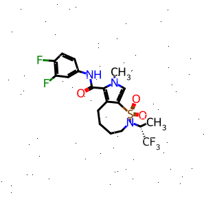 C[C@@H](N1CCCCc2c(cn(C)c2C(=O)Nc2ccc(F)c(F)c2)S1(=O)=O)C(F)(F)F